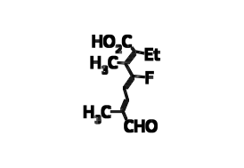 CCC(C(=O)O)=C(C)C(F)=CC=C(C)C=O